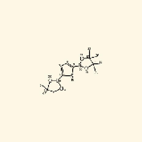 CC1(C)COB(c2ccc(B3OC(C)(C)C(C)(C)O3)s2)O1